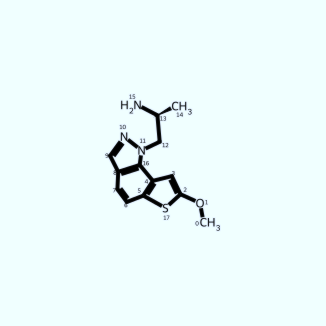 COc1cc2c(ccc3cnn(C[C@H](C)N)c32)s1